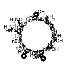 CCCC[C@H]1C(=O)N(C)[C@@H](CCCC)C(=O)N[C@@H](CCCNC(=N)N)C(=O)NC(C(=O)NCC(N)=O)CSCC(=O)N[C@@H](Cc2ccc(O)cc2)C(=O)N(C)[C@@H](C)C(=O)N[C@@H](CC(N)=O)C(=O)N2CCC[C@H]2C(=O)N[C@@H](CO)C(=O)N[C@@H](CCO)C(=O)N2C[C@H](O)C[C@H]2C(=O)N[C@@H](Cc2c[nH]c3ccccc23)C(=O)N[C@@H](CCO)C(=O)N[C@@H](Cc2c[nH]c3ccccc23)C(=O)N1C